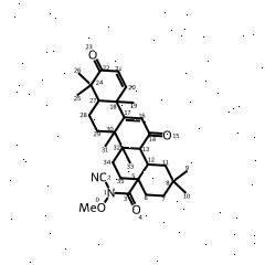 CON(C#N)C(=O)C12CCC(C)(C)CC1C1C(=O)C=C3C4(C)C=CC(=O)C(C)(C)C4CCC3(C)C1(C)CC2